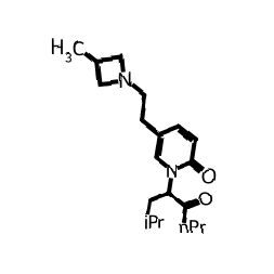 CCCC(=O)C(CC(C)C)n1cc(CCN2CC(C)C2)ccc1=O